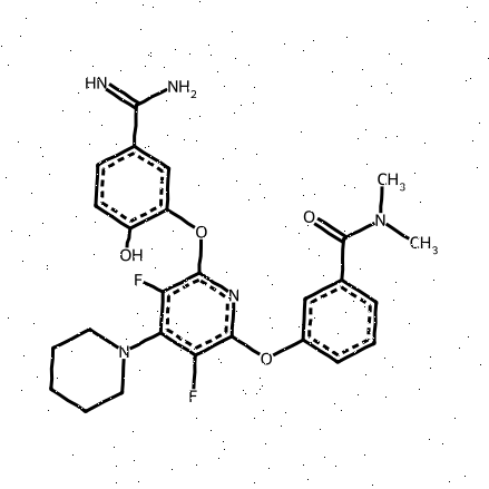 CN(C)C(=O)c1cccc(Oc2nc(Oc3cc(C(=N)N)ccc3O)c(F)c(N3CCCCC3)c2F)c1